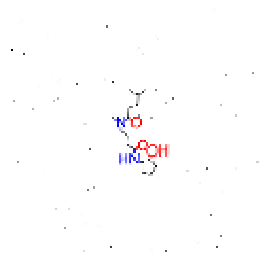 CC(C)CCC(=O)N(C)CCCC(=O)N[C@@H]1CCC[C@H]1O